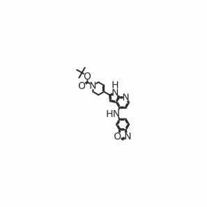 CC(C)(C)OC(=O)N1CC=C(c2cc3c(Nc4ccc5ncoc5c4)ccnc3[nH]2)CC1